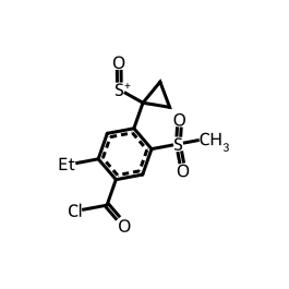 CCc1cc(C2([S+]=O)CC2)c(S(C)(=O)=O)cc1C(=O)Cl